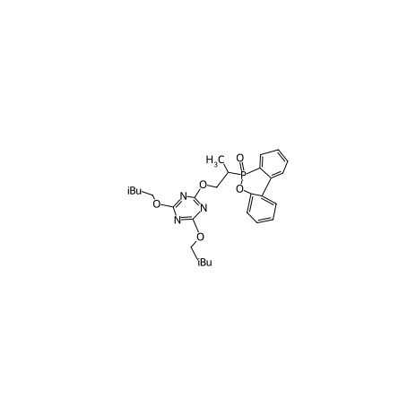 CCC(C)COc1nc(OCC(C)CC)nc(OCC(C)P2(=O)Oc3ccccc3-c3ccccc32)n1